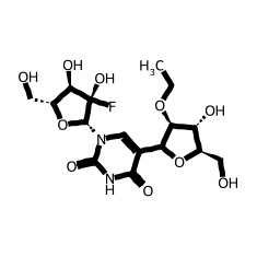 CCO[C@@H]1C(c2cn([C@@H]3O[C@H](CO)[C@@H](O)[C@]3(O)F)c(=O)[nH]c2=O)O[C@H](CO)[C@H]1O